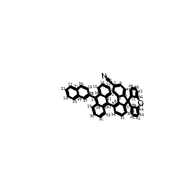 N#Cc1ccc2c(c1)-c1c(-c3c4ccccc4c(-c4ccc5ccccc5c4)c4ccccc34)cccc1C21c2ccccc2Oc2ccccc21